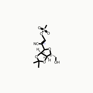 CC1(C)O[C@@H]2[C@@H](CO)OC(/C(C#N)=C/OS(C)(=O)=O)[C@@H]2O1